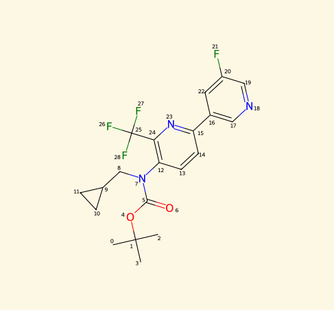 CC(C)(C)OC(=O)N(CC1CC1)c1ccc(-c2cncc(F)c2)nc1C(F)(F)F